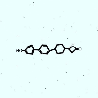 O=C1CC(C2CCC(c3ccc(-c4ccc(O)cc4)cc3)CC2)O1